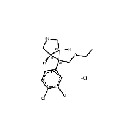 CCOC[C@@]1(c2ccc(Cl)c(Cl)c2)[C@@H]2CNC[C@@H]21.Cl